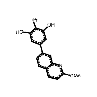 COc1ccc2ccc(-c3cc(O)c(C(C)C)c(O)c3)cc2n1